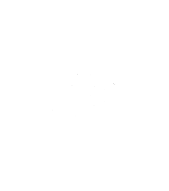 CC(C)Cc1ccc2c3c(cccc13)C(=N)C2